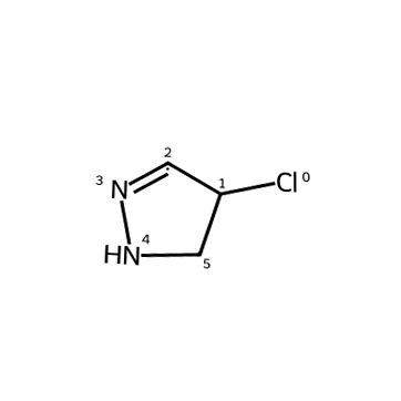 ClC1[C]=NNC1